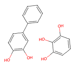 Oc1ccc(-c2ccccc2)cc1O.Oc1cccc(O)c1O